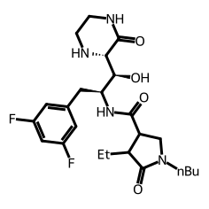 CCCCN1CC(C(=O)N[C@@H](Cc2cc(F)cc(F)c2)[C@H](O)[C@@H]2NCCNC2=O)C(CC)C1=O